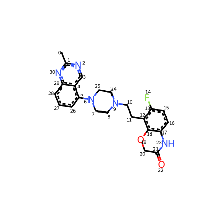 Cc1ncc2c(N3CCN(CCc4c(F)ccc5c4OCC(=O)N5)CC3)cccc2n1